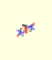 O=S(=O)([O-])c1cc(Nc2nc(Nc3ccccc3)nc(N3CCOCC3)n2)ccc1/C=C/c1ccc(Nc2nc(Nc3ccccc3)nc(N3CCOCC3)n2)cc1S(=O)(=O)[O-].[Na+].[Na+]